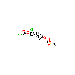 CC(C)(c1ccc(OCC(=O)CS(C)(=O)=O)cc1)c1cc(Cl)c(OC[C@@H](O)CCl)c(Cl)c1